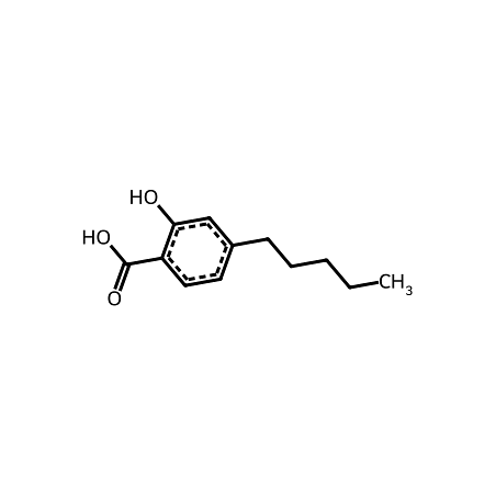 CCCCCc1ccc(C(=O)O)c(O)c1